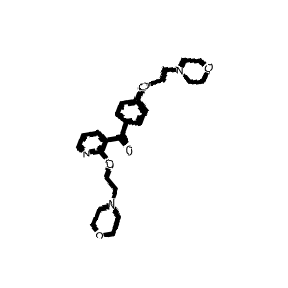 O=C(c1ccc(OCCN2CCOCC2)cc1)c1cccnc1OCCN1CCOCC1